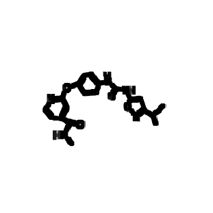 CNC(=O)c1ccnc(Oc2ccc(NC(=O)Nc3cc(C(C)C)no3)cc2)c1